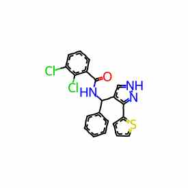 O=C(NC(c1ccccc1)c1c[nH]nc1-c1cccs1)c1cccc(Cl)c1Cl